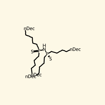 CCCCCCCCCCCCCCP(=S)(CCCCCCCCCCCCCC)NP(=S)(CCCCCCCCCCCCCC)CCCCCCCCCCCCCC